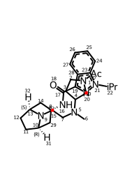 CC(=O)N1CCC(N(C)CCN2[C@@H]3CC[C@H]2C[C@H](NC(=O)c2nn(C(C)C)c4ccccc24)C3)C1